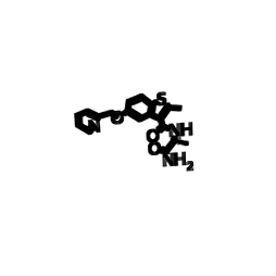 Cc1sc2ccc(OCc3ccccn3)cc2c1C(=O)N[C@@H](C)C(N)=O